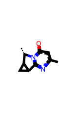 Cc1cc(=O)n2c(n1)C1CC1[C@@H]2C